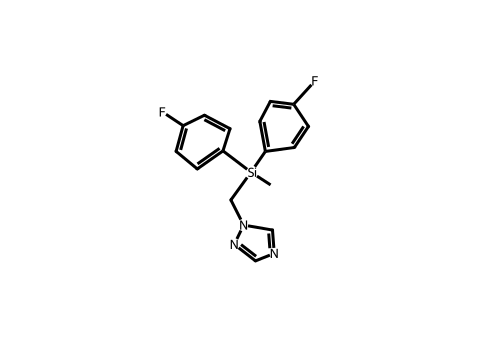 C[Si](Cn1cncn1)(c1ccc(F)cc1)c1ccc(F)cc1